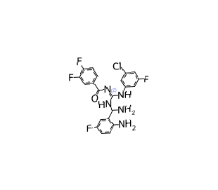 Nc1ccc(F)cc1C(N)N/C(=N\C(=O)c1ccc(F)c(F)c1)Nc1cc(F)cc(Cl)c1